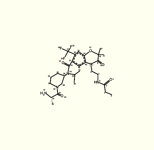 CCC(=O)NCCN1C(=O)C(C)(C)Oc2cc(C(F)(F)F)c(C(=O)N(C(C)C)[C@@H]3CCCN(C(=O)[C@H](C)N)C3)cc21